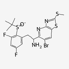 CSc1nc2nc(C(N)Cc3cc(F)cc(F)c3[S+]([O-])C(C)(C)C)c(Br)cc2s1